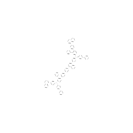 c1ccc(-c2ccc(N(c3ccc(-c4cccc5ccccc45)cc3)c3ccc(-c4ccc(-c5ccc(-c6ccc(-c7ccc(N(c8ccc(-c9ccccc9)cc8)c8ccc(-c9ccc(-c%10cccc%11ccccc%10%11)cc9)c(-c9ccccc9)c8)cc7)c7ccccc67)cc5)cc4)c(-c4ccccc4)c3)cc2)cc1